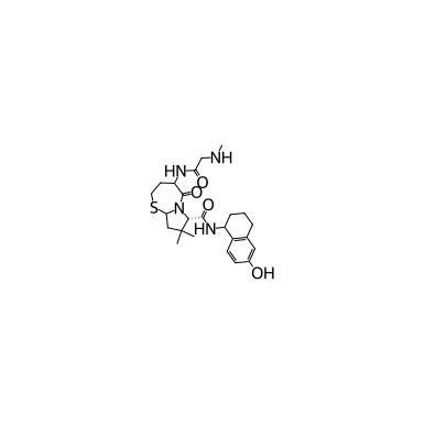 CNCC(=O)NC1CCSC2CC(C)(C)[C@@H](C(=O)NC3CCCc4cc(O)ccc43)N2C1=O